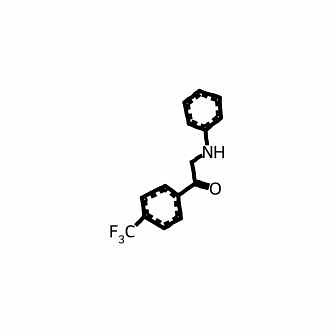 O=C(CNc1ccccc1)c1ccc(C(F)(F)F)cc1